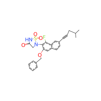 CC(C)CC#Cc1ccc2cc(OCc3ccccc3)c(N3CC(=O)NS3(=O)=O)c(F)c2c1